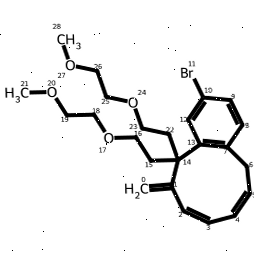 C=C1/C=C\C=C/Cc2ccc(Br)cc2C1(CCOCCOC)CCOCCOC